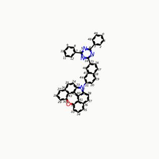 c1ccc(-c2nc(-c3ccccc3)nc(-c3ccc4ccc(-n5c6ccc7cccc8oc9cccc%10ccc5c(c%109)c6c78)cc4c3)n2)cc1